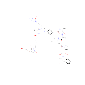 CCC(C)[C@@H](C(CC(=O)N1CCC[C@H]1C(OC)[C@@H](C)C(=O)N[C@H](C)[C@@H](O)c1ccccc1)OC)N(C)C(=O)[C@@H](NC(=O)[C@H](C(C)C)N(C)C(=O)OCc1ccc(NC(=O)[C@H](CCCNC(N)=O)NC(=O)C(NC(=O)CCCCCN2C(=O)CC(SCCC=O)C2=O)C(C)C)cc1)C(C)C